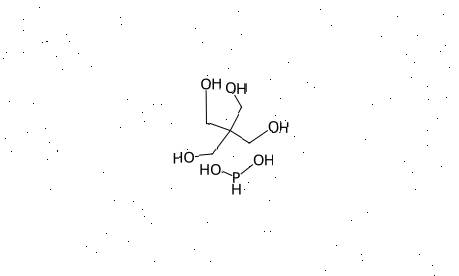 OCC(CO)(CO)CO.OPO